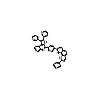 c1ccc(-c2ccc3ccc4ccc(-c5ccc(-c6nc7ccccc7c7c(-c8cccnc8)c(-c8cccnc8)oc67)cc5)nc4c3n2)cc1